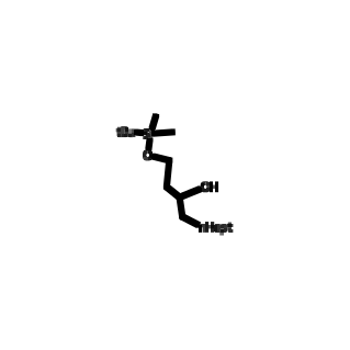 CCCCCCCCC(O)CCO[Si](C)(C)C(C)(C)C